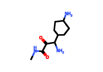 CNC(=O)C(=O)C(N)C1CCC(N)CC1